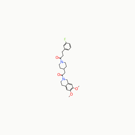 COc1cc2c(cc1OC)CN(C(=O)CC1CCN(C(=O)CCc3cccc(F)c3)CC1)CC2